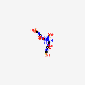 O=S(=O)(O)CCNc1nc(Nc2ccc(N=Nc3ccc(N=Nc4ccc(S(=O)(=O)O)cc4)cc3S(=O)(=O)O)cc2)nc(Nc2ccc(N=Nc3ccc(N=Nc4ccc(S(=O)(=O)O)cc4)cc3S(=O)(=O)O)cc2)n1